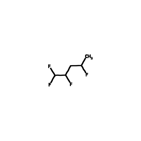 CC(F)CC(F)[C](F)F